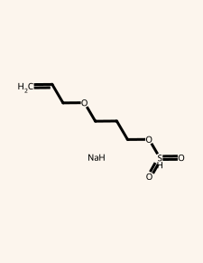 C=CCOCCCO[SH](=O)=O.[NaH]